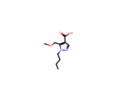 CCCCn1ncc(C(=O)O)c1COC